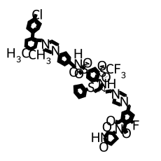 CC1(C)CCC(c2ccc(Cl)cc2)=C(CN2CCN(c3ccc(C(=O)NS(=O)(=O)c4ccc(N[C@H](CCN5CCN(Cc6cc(F)c7c(c6)C(=O)N(C6CCC(=O)NC6=O)C7=O)CC5)CSc5ccccc5)c(S(=O)(=O)C(F)(F)F)c4)cc3)CC2)C1